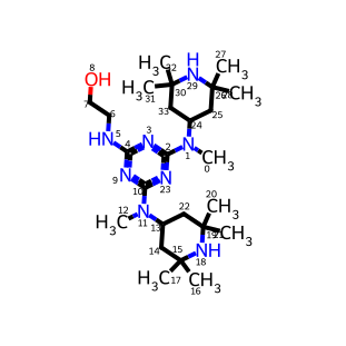 CN(c1nc(NCCO)nc(N(C)C2CC(C)(C)NC(C)(C)C2)n1)C1CC(C)(C)NC(C)(C)C1